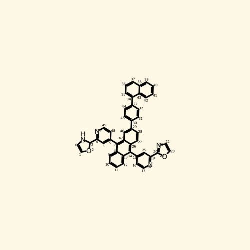 C1=COC(c2cc(-c3c4ccccc4c(-c4ccnc(-c5ncco5)c4)c4ccc(-c5ccc(-c6cccc7ccccc67)cc5)cc34)ccn2)N1